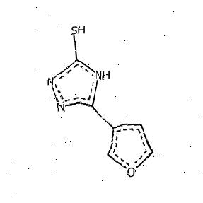 Sc1nnc(-c2ccoc2)[nH]1